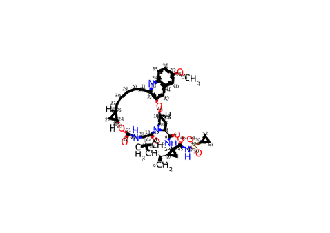 C=C[C@@H]1C[C@]1(NC(=O)[C@@H]1C[C@@H]2CN1C(=O)[C@H](C(C)(C)C)NC(=O)O[C@H]1C[C@@H]1CCCCCc1nc3ccc(OC)cc3cc1O2)C(=O)NS(=O)(=O)C1CC1